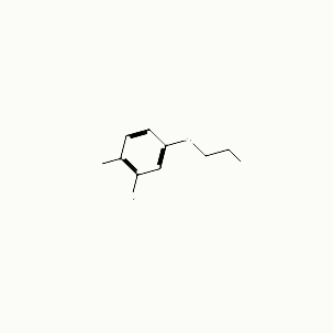 Cc1ccc(NCCCl)cc1[N+](=O)[O-]